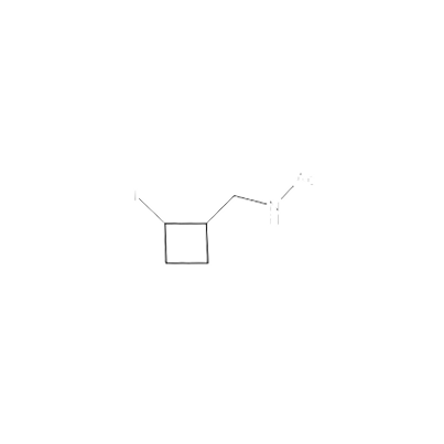 CC(=O)NCC1CCC1I